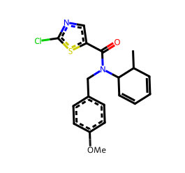 COc1ccc(CN(C(=O)c2cnc(Cl)s2)C2C=CC=CC2C)cc1